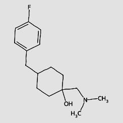 CN(C)CC1(O)CCC(Cc2ccc(F)cc2)CC1